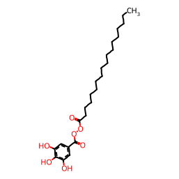 CCCCCCCCCCCCCCCCCC(=O)OOC(=O)c1cc(O)c(O)c(O)c1